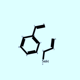 C=CC[SeH].C=Cc1ccccc1